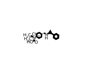 CC(C)(C)N(C(=O)O)[C@H]1CC[C@H](CNC2CC2c2ccccc2)CC1